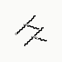 CCCCCCCC[NH+](CCCCCCCC)CCCCCCCC.CCCCCCCC[NH+](CCCCCCCC)CCCCCCCC.[O-2]